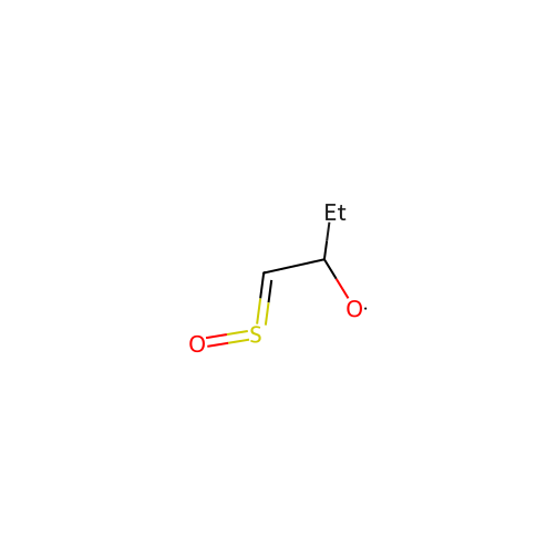 CCC([O])C=S=O